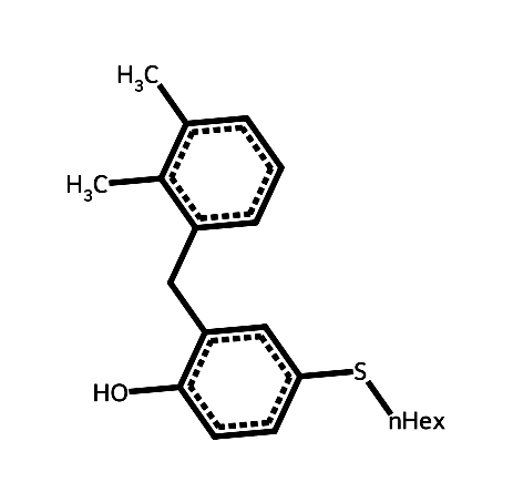 CCCCCCSc1ccc(O)c(Cc2cccc(C)c2C)c1